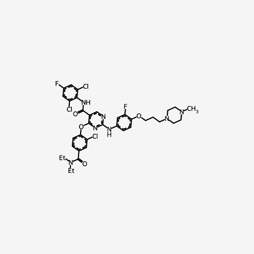 CCN(CC)C(=O)c1ccc(Oc2nc(Nc3ccc(OCCCN4CCN(C)CC4)c(F)c3)ncc2C(=O)Nc2c(Cl)cc(F)cc2Cl)c(Cl)c1